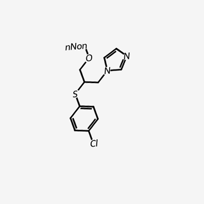 CCCCCCCCCOCC(Cn1ccnc1)Sc1ccc(Cl)cc1